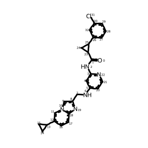 O=C(Nc1cc(NCc2cn3cc(C4CC4)ccc3n2)ccn1)C1CC1c1cccc(Cl)c1